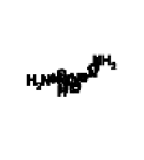 Cl.NC1CCN(Cc2ccc(-n3ccc(NC(=O)N4CC(N)C4)nc3=O)cc2)CC1